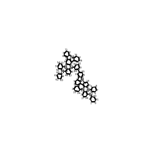 c1ccc(N2c3ccccc3B3c4ccc5c(c4N(c4ccccc4)c4cccc2c43)c2cccc3c4cc(-c6cccc(N7c8cccc9c8B(c8ccccc8N9c8ccccc8)c8cc9c%10ccccc%10n%10c%11ccccc%11c(c87)c9%10)c6)ccc4n5c32)cc1